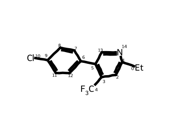 CCc1cc(C(F)(F)F)c(-c2ccc(Cl)cc2)cn1